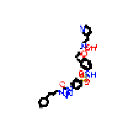 O=c1n(CCCC2CCCCC2)nnn1-c1ccc(S(=O)(=O)Nc2ccc3c(c2)CC[C@H](CN(O)CCc2cccnc2)O3)cc1